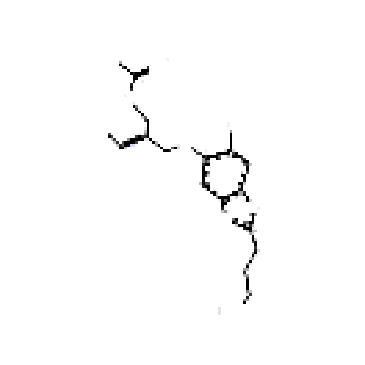 CCCCc1nc2cc(C)c(OC/C(=C/F)CNC(=O)O)cc2o1